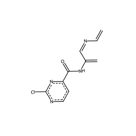 C=C/N=C\C(=C)NC(=O)c1ccnc(Cl)n1